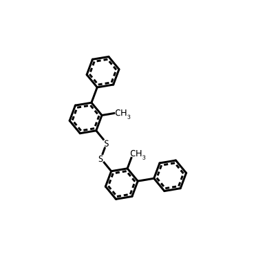 Cc1c(SSc2cccc(-c3ccccc3)c2C)cccc1-c1ccccc1